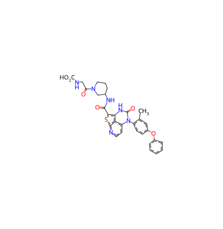 Cc1cc(Oc2ccccc2)ccc1N1C(=O)Nc2c(C(=O)NC3CCCN(C(=O)CNC(=O)O)C3)sc3nccc1c23